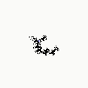 CC(C)(O/N=C(\C(=O)N[C@@H]1C(=O)N2C(C(=O)[O-])=C(C[n+]3ccc4c(ccn4Cc4cc(C5=NCCN5)no4)c3)CS[C@H]12)c1csc(N)n1)C(=O)O